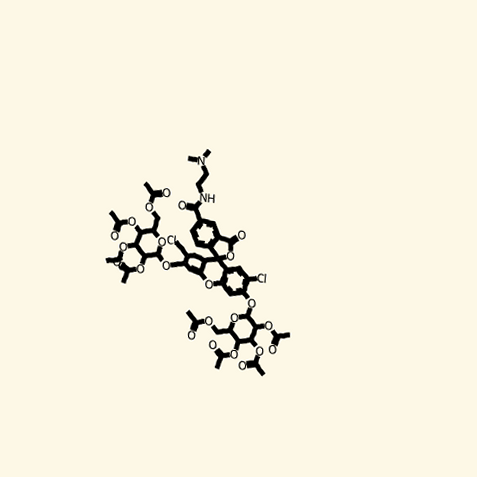 CC(=O)OCC1OC(Oc2cc3c(cc2Cl)C2(OC(=O)c4cc(C(=O)NCCN(C)C)ccc42)C2CC(Cl)C(OC4OC(COC(C)=O)C(OC(C)=O)C(OC(C)=O)C4OC(C)=O)C=C2O3)C(OC(C)=O)C(OC(C)=O)C1OC(C)=O